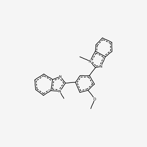 COc1cc(-c2nc3ccccc3n2C)cc(-c2nc3ccccc3n2C)c1